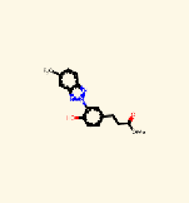 COC(=O)CCc1ccc(O)c(-n2nc3ccc(C(F)(F)F)cc3n2)c1